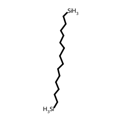 [SiH3]CCCCCCCCCCCCCC[SiH3]